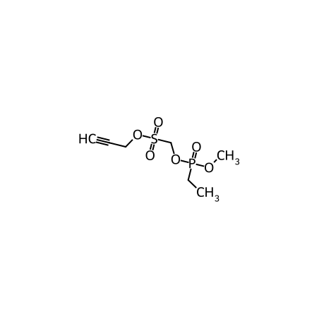 C#CCOS(=O)(=O)COP(=O)(CC)OC